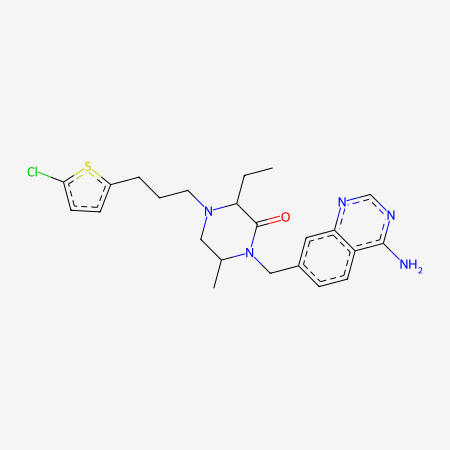 CCC1C(=O)N(Cc2ccc3c(N)ncnc3c2)C(C)CN1CCCc1ccc(Cl)s1